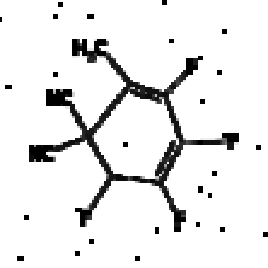 CC1=C(F)C(F)=C(F)C(F)C1(C#N)C#N